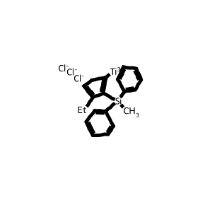 CCC1=CC[C]([Ti+3])=C1[Si](C)(c1ccccc1)c1ccccc1.[Cl-].[Cl-].[Cl-]